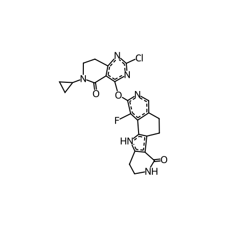 O=C1NCCc2[nH]c3c(c21)CCc1cnc(Oc2nc(Cl)nc4c2C(=O)N(C2CC2)CC4)c(F)c1-3